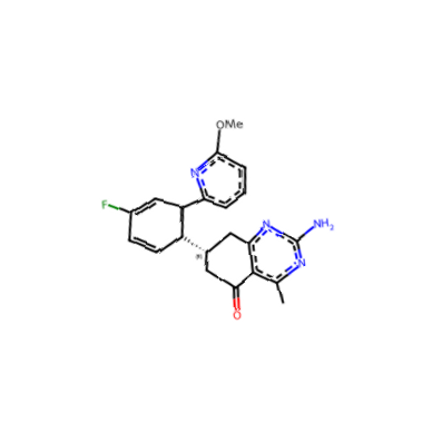 COc1cccc(C2C=C(F)C=CC2[C@H]2CC(=O)c3c(C)nc(N)nc3C2)n1